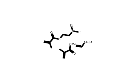 C=C(C)C(=O)OC.C=C(C)C(=O)OCCN(CC)CC.C=CC(=O)OCC